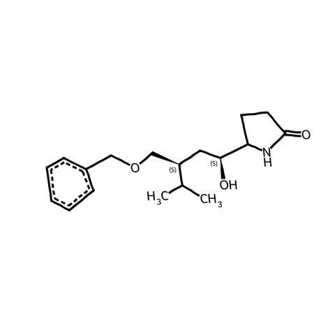 CC(C)[C@@H](COCc1ccccc1)C[C@H](O)C1CCC(=O)N1